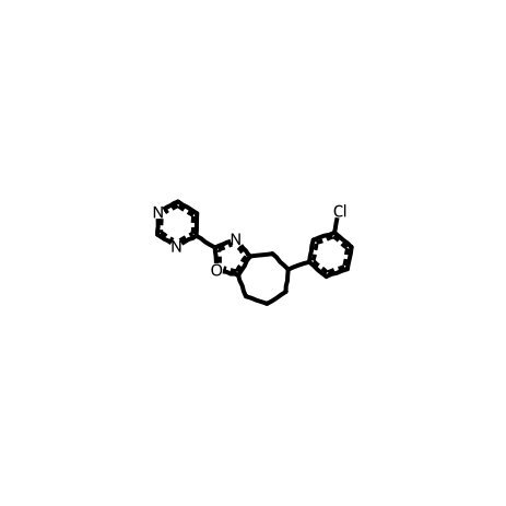 Clc1cccc(C2CCCc3oc(-c4ccncn4)nc3C2)c1